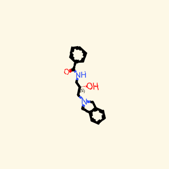 O=C(NC[C@H](O)CN1Cc2ccccc2C1)c1ccccc1